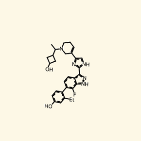 CCc1cc(O)ccc1-c1ccc2c(-c3nc(C4=CCCN(C(C)C5CC(O)C5)C4)c[nH]3)n[nH]c2c1F